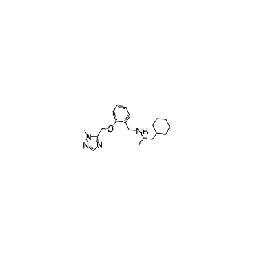 CC(CC1CCCCC1)NCc1ccccc1OCc1ncnn1C